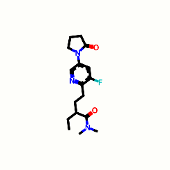 CCC(CCc1ncc(N2CCCC2=O)cc1F)C(=O)N(C)C